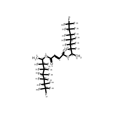 CC(OC(=O)C=CC(=O)OC(C)C(F)(F)C(F)(F)C(F)(F)C(F)(F)C(F)(F)C(F)(F)F)C(F)(F)C(F)(F)C(F)(F)C(F)(F)C(F)(F)C(F)(F)F